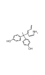 C=C/C=C(\C=C/N)C(C)(c1ccc(O)cc1)c1ccc(O)cc1